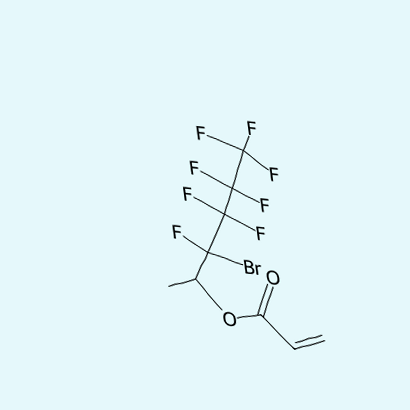 C=CC(=O)OC(C)C(F)(Br)C(F)(F)C(F)(F)C(F)(F)F